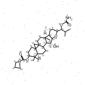 CC(C)C(OC(N)=O)C1C[C@@H](C)[C@H]2C(O1)[C@H](O)[C@@]1(C)C3CC[C@H]4C(C)(C)C(OC(=O)N5CCC5)CCC45CC35CCC21C